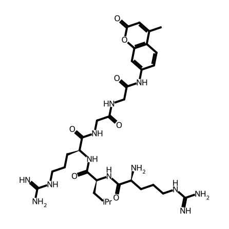 Cc1cc(=O)oc2cc(NC(=O)CNC(=O)CNC(=O)[C@H](CCCNC(=N)N)NC(=O)[C@H](CC(C)C)NC(=O)[C@@H](N)CCCNC(=N)N)ccc12